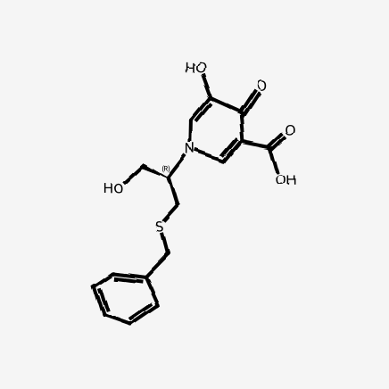 O=C(O)c1cn([C@H](CO)CSCc2ccccc2)cc(O)c1=O